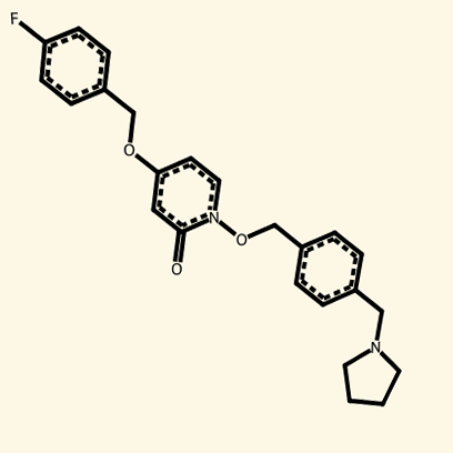 O=c1cc(OCc2ccc(F)cc2)ccn1OCc1ccc(CN2CCCC2)cc1